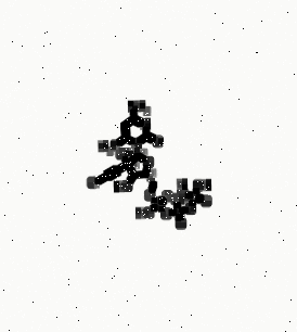 Cc1cc(N)nc(=O)n1[C@@H]1O[C@H](COP(=O)(O)OP(=O)(O)OP(=O)(O)O)C(O)[C@]1(O)C#CCl